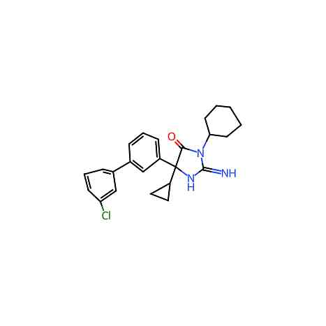 N=C1NC(c2cccc(-c3cccc(Cl)c3)c2)(C2CC2)C(=O)N1C1CCCCC1